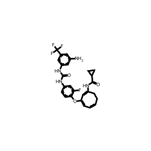 Nc1cc(NC(=O)Nc2ccc(OC3=C/C=C\CC/C(NC(=O)C4CC4)=C\3)c(F)c2)cc(C(F)(F)F)c1